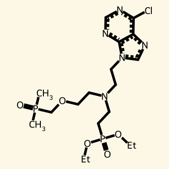 CCOP(=O)(CCN(CCOCP(C)(C)=O)CCn1cnc2c(Cl)ncnc21)OCC